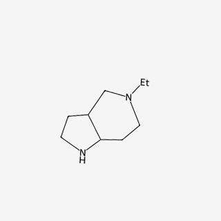 CCN1CCC2NCCC2C1